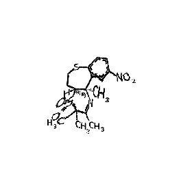 CC1=N[C@]2(C)c3cc([N+](=O)[O-])ccc3SCC[C@H]2S(=O)(=O)C1(C)C